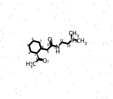 CC(=O)[C@H]1CCCCC1CC(=O)NCCN(C)C